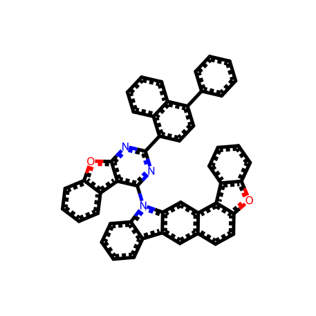 c1ccc(-c2ccc(-c3nc(-n4c5ccccc5c5cc6ccc7oc8ccccc8c7c6cc54)c4c(n3)oc3ccccc34)c3ccccc23)cc1